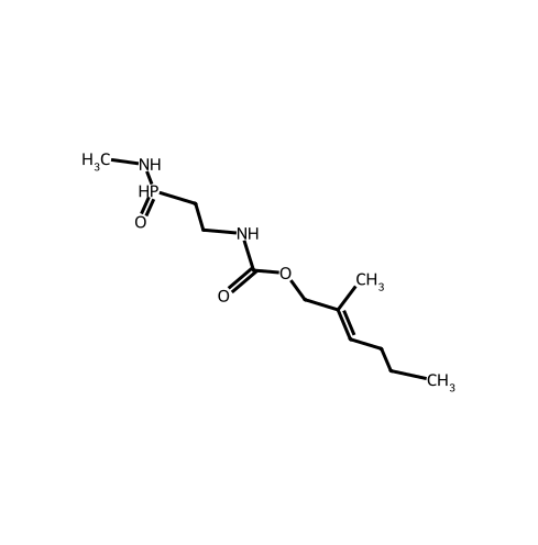 CCC/C=C(\C)COC(=O)NCC[PH](=O)NC